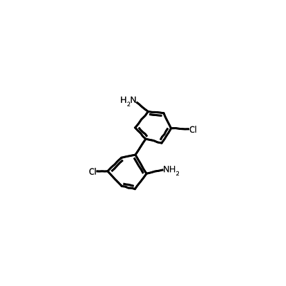 Nc1cc(Cl)cc(-c2cc(Cl)ccc2N)c1